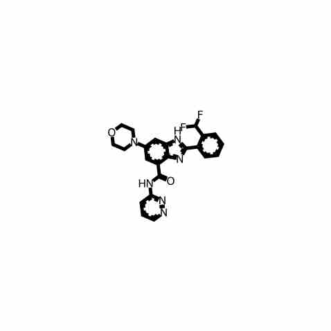 O=C(Nc1cccnn1)c1cc(N2CCOCC2)cc2[nH]c(-c3ccccc3C(F)F)nc12